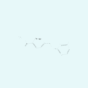 COC(=O)c1ccc(CSc2nccc(Cl)n2)cc1